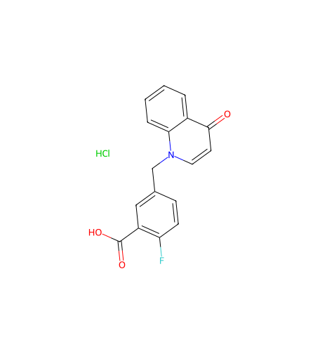 Cl.O=C(O)c1cc(Cn2ccc(=O)c3ccccc32)ccc1F